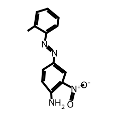 Cc1ccccc1N=Nc1ccc(N)c([N+](=O)[O-])c1